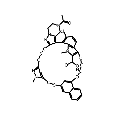 CC(=O)N1CCn2nc3c(c2C1)-c1c(Cl)ccc2c(c(C(O)O)n(C)c12)CCCOc1cc(cc2ccccc12)SCc1cc(nn1C)CSC3